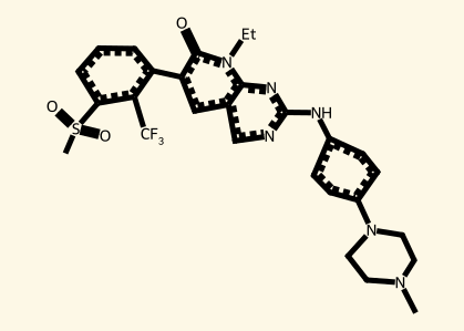 CCn1c(=O)c(-c2cccc(S(C)(=O)=O)c2C(F)(F)F)cc2cnc(Nc3ccc(N4CCN(C)CC4)cc3)nc21